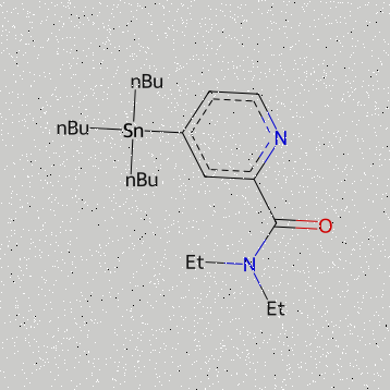 CCC[CH2][Sn]([CH2]CCC)([CH2]CCC)[c]1ccnc(C(=O)N(CC)CC)c1